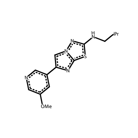 COc1cncc(-c2cn3nc(NCC(C)C)sc3n2)c1